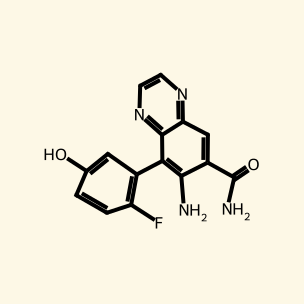 NC(=O)c1cc2nccnc2c(-c2cc(O)ccc2F)c1N